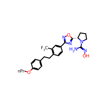 CCCOc1ccc(CCc2ccc(-c3noc([C@@H]4CCCN4/C(N)=N/O)n3)cc2C(F)(F)F)cc1